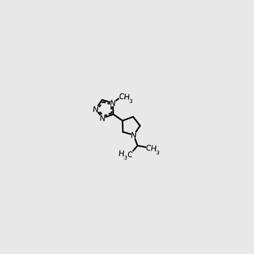 CC(C)N1CCC(c2nncn2C)C1